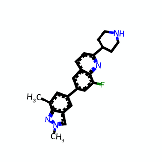 Cc1cc(-c2cc(F)c3nc(C4CCNCC4)ccc3c2)cc2cn(C)nc12